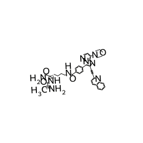 C[C@H](N)C(=O)N[C@@H](CCCCNC(=O)c1ccc(-c2c(C#Cc3ccc4ccccc4n3)nc3c(N4CCOCC4)ccnn23)cc1)C(N)=O